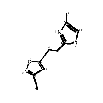 Cc1cc(CCc2nc(C)cs2)on1